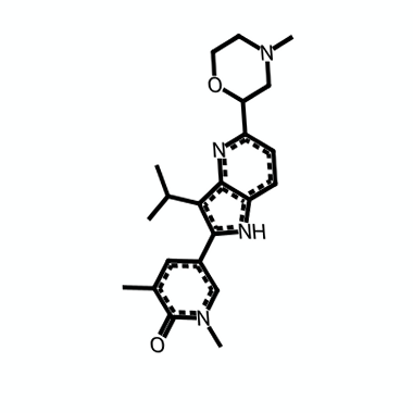 Cc1cc(-c2[nH]c3ccc(C4CN(C)CCO4)nc3c2C(C)C)cn(C)c1=O